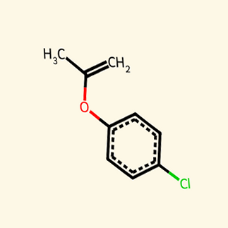 C=C(C)Oc1ccc(Cl)cc1